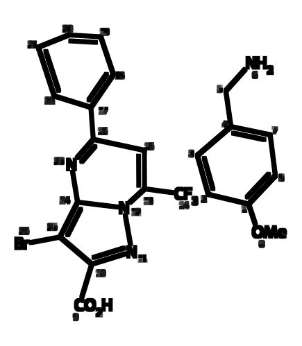 COc1ccc(CN)cc1.O=C(O)c1nn2c(C(F)(F)F)cc(-c3ccccc3)nc2c1Br